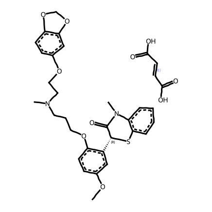 COc1ccc(OCCCN(C)CCOc2ccc3c(c2)OCO3)c([C@H]2Sc3ccccc3N(C)C2=O)c1.O=C(O)/C=C/C(=O)O